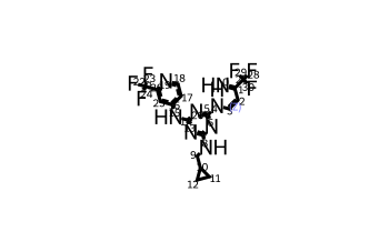 N=C(/C=C\Nc1nc(NCC2CC2)nc(Nc2ccnc(C(F)(F)F)c2)n1)C(F)(F)F